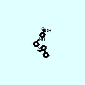 O=C(O)c1ccc(NCc2cccc(-n3ccc4c(-c5ccccc5)cccc43)c2)cc1